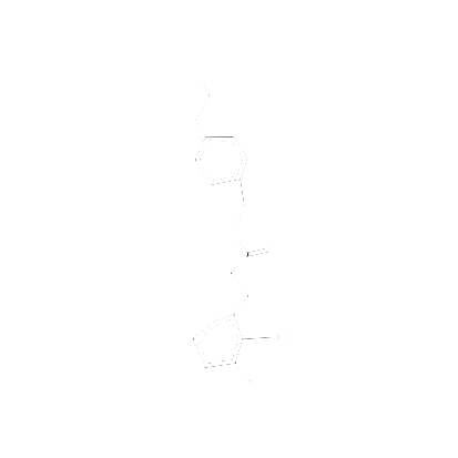 O=C(O)CCc1ccc(OOC(=O)CCc2cccc(O)c2O)cc1